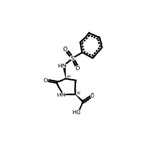 O=C(O)[C@@H]1C[C@H](NS(=O)(=O)c2ccccc2)C(=O)N1